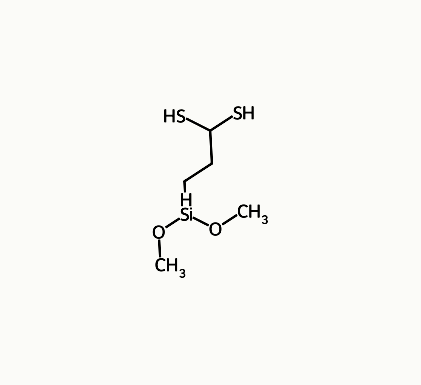 CO[SiH](CCC(S)S)OC